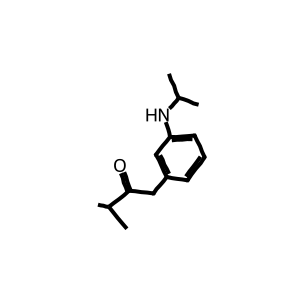 CC(C)Nc1cccc(CC(=O)C(C)C)c1